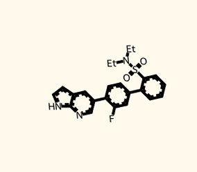 CCN(CC)S(=O)(=O)c1ccccc1-c1ccc(-c2cnc3[nH]ccc3c2)c(F)c1